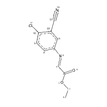 CCOC(=O)C=Nc1ccc(Cl)c(C#N)c1